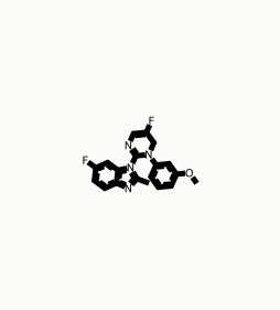 COc1cccc(N2CC(F)=CN=C2n2c(C)nc3ccc(F)cc32)c1